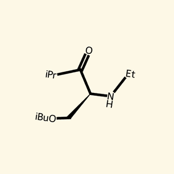 CCN[C@@H](COCC(C)C)C(=O)C(C)C